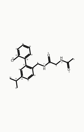 CC(=O)NCC(=O)NCc1ccc(C(C)C)cc1-c1ccccc1Cl